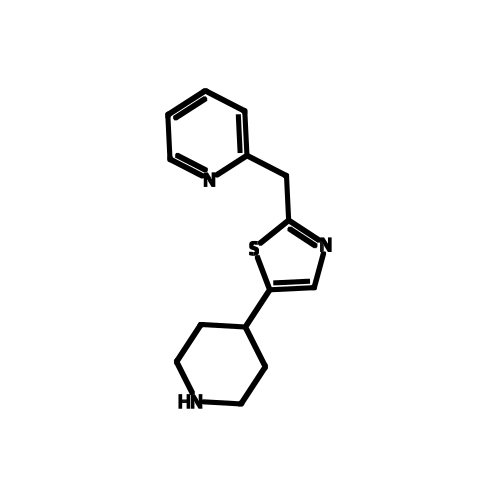 c1ccc(Cc2ncc(C3CCNCC3)s2)nc1